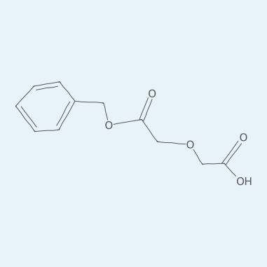 O=C(O)COCC(=O)OCc1ccccc1